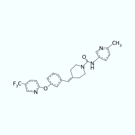 Cc1ccc(NC(=O)N2CCC(=Cc3cccc(Oc4ccc(C(F)(F)F)cn4)c3)CC2)cn1